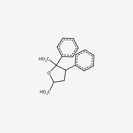 O=C(O)C1CC(c2ccccc2)C(C(=O)O)(c2ccccc2)O1